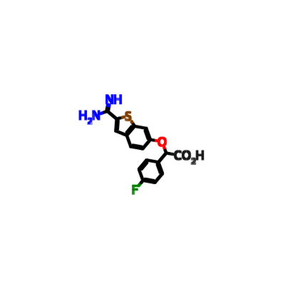 N=C(N)c1cc2ccc(OC(C(=O)O)c3ccc(F)cc3)cc2s1